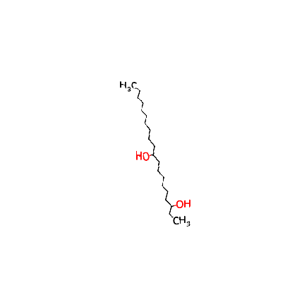 CCCCCCCCCCC(O)CCCCCCC(O)CC